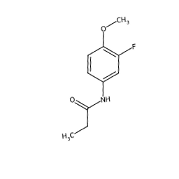 CCC(=O)Nc1ccc(OC)c(F)c1